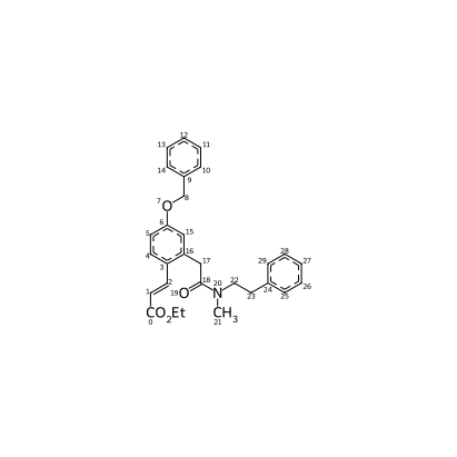 CCOC(=O)/C=C/c1ccc(OCc2ccccc2)cc1CC(=O)N(C)CCc1ccccc1